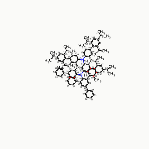 CC(C)c1cc(C(C)C)c(-c2ccc(N3c4ccc(-c5c(C(C)C)cc(C(C)C)cc5C(C)C)cc4B4c5cc(-c6ccccc6)ccc5N(c5c(-c6ccccc6)cc(-c6ccccc6)cc5-c5ccccc5)c5cc(-c6c(C(C)C)cc(C(C)C)cc6C(C)C)cc3c54)cc2)c(C(C)C)c1